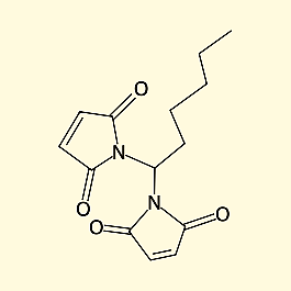 CCCCCC(N1C(=O)C=CC1=O)N1C(=O)C=CC1=O